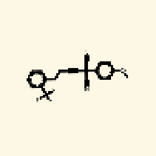 COc1ccc(C(C#N)(C#N)C#CCCc2ccccc2C(F)(F)F)cc1